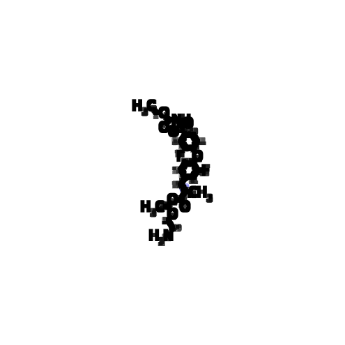 CCOC(=O)NS(=O)(=O)c1ccc(Oc2c(F)cc(/C=C(\C)C(=O)OC(C)OCCN)cc2F)cc1